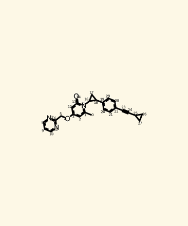 Cc1cc(OCc2ncccn2)cc(=O)n1C1CC1c1ccc(C#CC2CC2)cc1